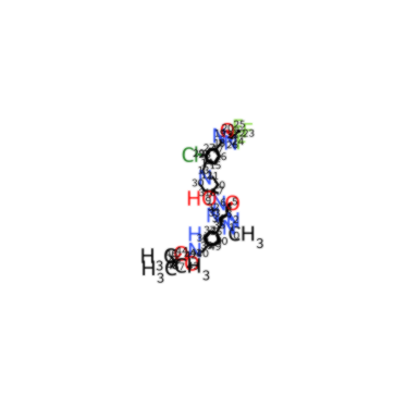 Cn1nc2c(=O)n(CC3(O)CCN(Cc4ccc(-c5noc(C(F)(F)F)n5)cc4Cl)CC3)cnc2c1-c1ccc(CNC(=O)OC(C)(C)C)cc1